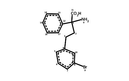 NC(CCc1cccc(Br)c1)(C(=O)O)c1ccccc1